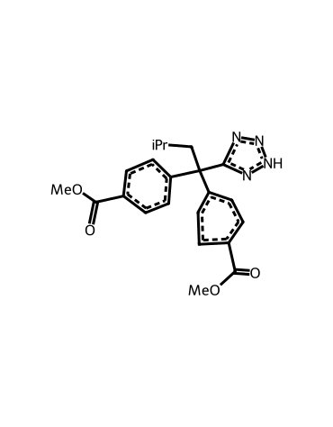 COC(=O)c1ccc(C(CC(C)C)(c2ccc(C(=O)OC)cc2)c2nn[nH]n2)cc1